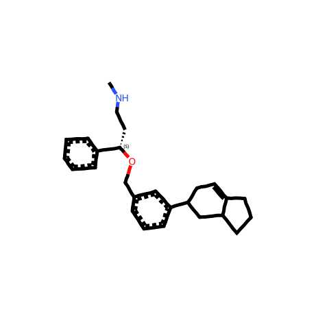 CNCC[C@H](OCc1cccc(C2CC=C3CCCC3C2)c1)c1ccccc1